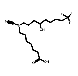 N#CN(CCCCCCC(=O)O)CCCC(O)CCCCC(F)(F)F